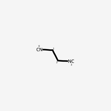 [C-]#[N+]CC[N+]#[C-]